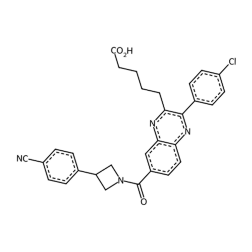 N#Cc1ccc(C2CN(C(=O)c3ccc4nc(-c5ccc(Cl)cc5)c(CCCCC(=O)O)nc4c3)C2)cc1